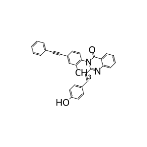 Cc1cc(C#Cc2ccccc2)ccc1-n1c(C=Cc2ccc(O)cc2)nc2ccccc2c1=O